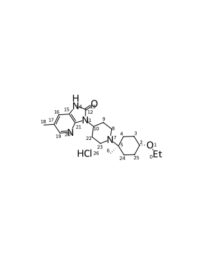 CCO[C@H]1CC[C@](C)(N2CCC(n3c(=O)[nH]c4cc(C)cnc43)CC2)CC1.Cl